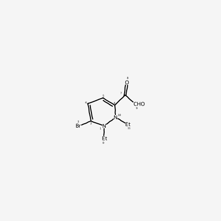 CCN1C(Br)=CC=C(C(=O)C=O)N1CC